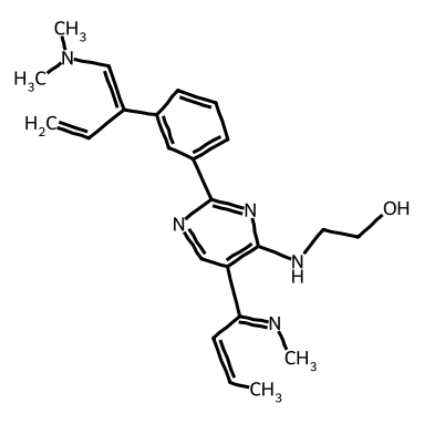 C=C/C(=C\N(C)C)c1cccc(-c2ncc(C(/C=C\C)=N/C)c(NCCO)n2)c1